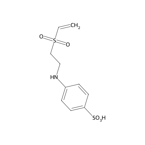 C=CS(=O)(=O)CCNc1ccc(S(=O)(=O)O)cc1